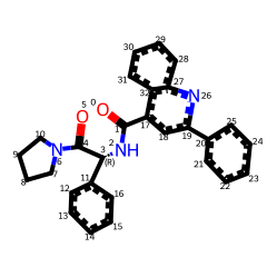 O=C(N[C@@H](C(=O)N1CCCC1)c1ccccc1)c1cc(-c2ccccc2)nc2ccccc12